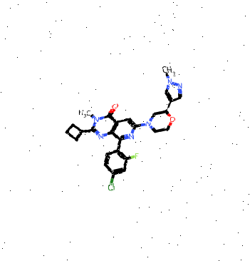 Cn1cc([C@@H]2CN(c3cc4c(=O)n(C)c(C5CCC5)nc4c(-c4ccc(Cl)cc4F)n3)CCO2)cn1